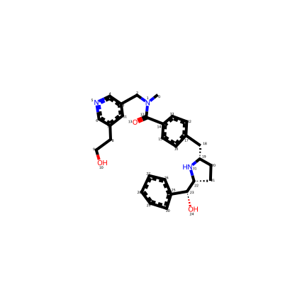 CN(Cc1cncc(CCO)c1)C(=O)c1ccc(C[C@@H]2CC[C@H]([C@H](O)c3ccccc3)N2)cc1